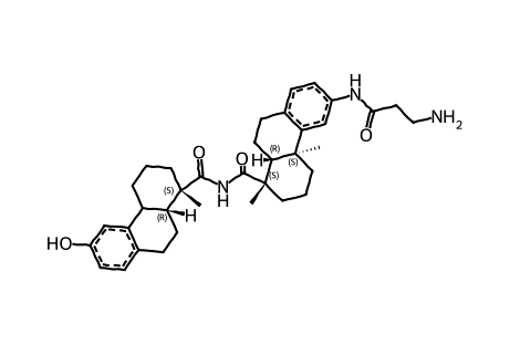 C[C@]1(C(=O)NC(=O)[C@@]2(C)CCC[C@]3(C)c4cc(NC(=O)CCN)ccc4CC[C@@H]23)CCCC2c3cc(O)ccc3CC[C@H]21